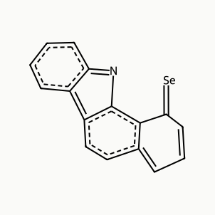 [Se]=C1C=CC=c2ccc3c(c21)N=c1ccccc1=3